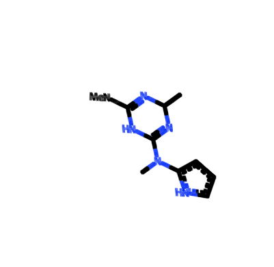 CNC1=NC(C)N=C(N(C)c2ccc[nH]2)N1